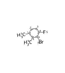 Cc1ccc(F)c(Br)c1C